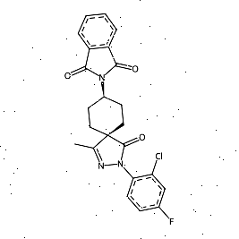 CC1=NN(c2ccc(F)cc2Cl)C(=O)[C@]12CC[C@H](N1C(=O)c3ccccc3C1=O)CC2